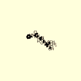 CC(C)(C)C1N(C(=O)O)CC12CN(C(=O)Cn1cc(Nc3ncc(Cl)c(NCc4ccccc4)n3)cn1)C2